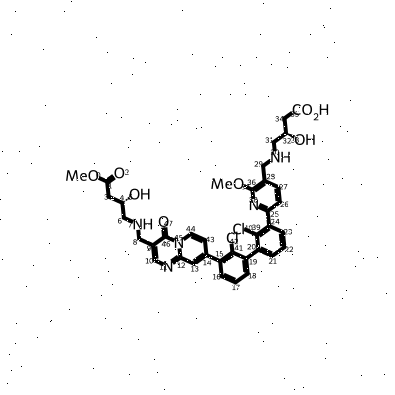 COC(=O)C[C@H](O)CNCc1cnc2cc(-c3cccc(-c4cccc(-c5ccc(CNC[C@H](O)CC(=O)O)c(OC)n5)c4Cl)c3Cl)ccn2c1=O